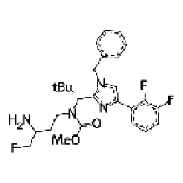 COC(=O)N(CCC(N)CF)[C@@H](c1nc(-c2cccc(F)c2F)cn1Cc1ccccc1)C(C)(C)C